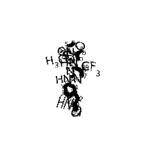 CS(=O)(=O)N1CCOCC1CNc1nc(Nc2ccc3c(c2)CC(=O)N3)ncc1C(F)(F)F